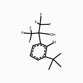 [2H]c1c(C(C)(C)C)cccc1C(O)(C(F)(F)F)C(F)(F)F